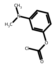 CN(C)c1cccc(OC(=O)Cl)c1